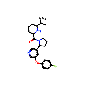 CNC(C)C1CCCC(C(=O)N2CCCC2c2cncc(Oc3ccc(F)cc3)c2)N1